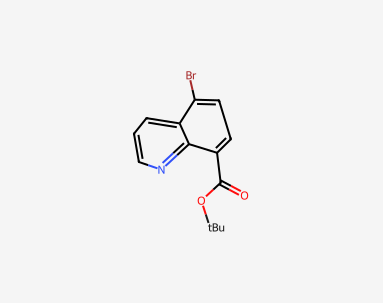 CC(C)(C)OC(=O)c1ccc(Br)c2cccnc12